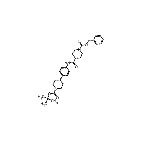 CC(C)(C)OC(=O)N1CCC(c2ccc(NC(=O)C3CCN(C(=O)OCc4ccccc4)CC3)cc2)CC1